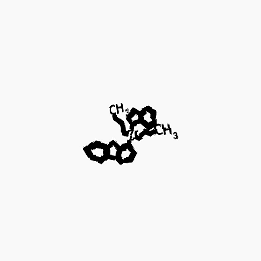 CCC[CH2][Zr]([CH2]CCC)([c]1cccc2c1Cc1ccccc1-2)[CH]1C=Cc2ccccc21